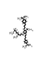 COc1cc(/C=C/C=C/c2ccc(N(C)C)cc2)c(OCCC(C)CCCC(C)C)cc1/C=C/C=C/c1ccc(N(C)C)cc1